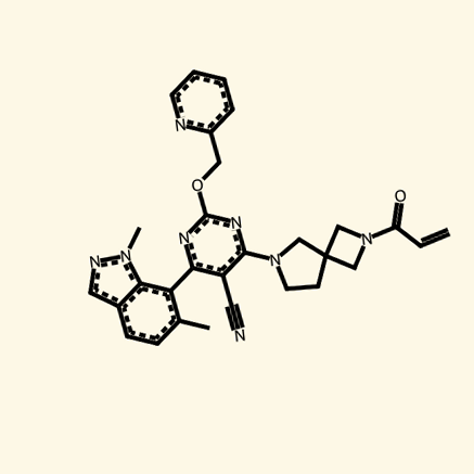 C=CC(=O)N1CC2(CCN(c3nc(OCc4ccccn4)nc(-c4c(C)ccc5cnn(C)c45)c3C#N)C2)C1